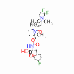 CC(C)(/C=C(\C#N)C(=O)N1CCCC[C@]1(C)COC(=O)N[C@@H](Cc1ccc(F)cc1)B(O)O)N1CCC(F)(F)C1